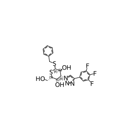 OC[C@@H]1S[C@@H](SCc2ccccc2)[C@@H](O)[C@H](n2cc(-c3cc(F)c(F)c(F)c3)nn2)[C@@H]1O